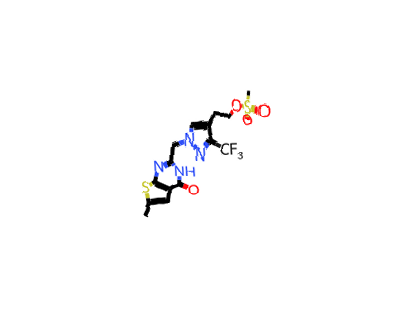 Cc1cc2c(=O)[nH]c(Cn3cc(CCOS(C)(=O)=O)c(C(F)(F)F)n3)nc2s1